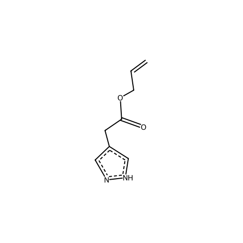 C=CCOC(=O)Cc1cn[nH]c1